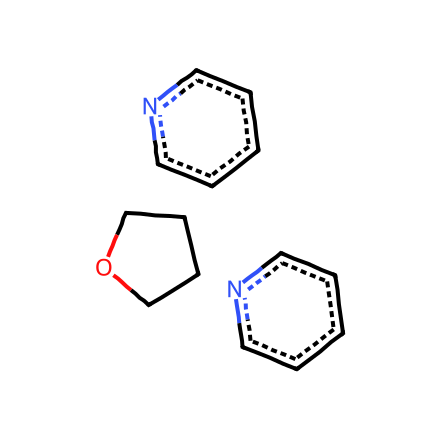 C1CCOC1.c1ccncc1.c1ccncc1